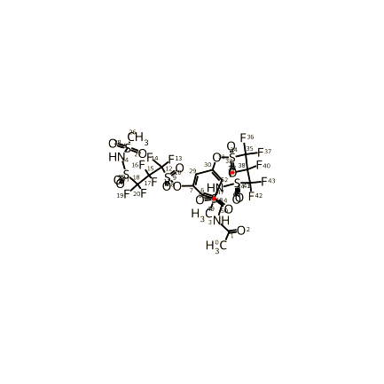 CC(=O)NCc1cc(OS(=O)(=O)C(F)(F)C(F)(F)C(F)(F)S(=O)(=O)NS(C)(=O)=O)cc(OS(=O)(=O)C(F)(F)C(F)(F)C(F)(F)S(=O)(=O)NS(C)(=O)=O)c1